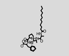 CCCCCCCCCCCC(=O)NC(C)C(=O)NC(C)C(=O)N1CCCC1C(=O)NC(Cc1ccccc1)C(=O)O